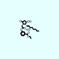 CCCCC[C@H](O)/C=C/[C@H]1[C@H](O)CC(=O)[C@@H]1CC(=O)Oc1cccc(C(=O)OCC)c1